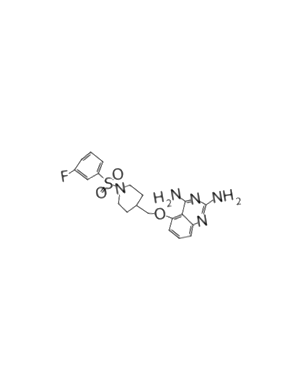 Nc1nc(N)c2c(OCC3CCN(S(=O)(=O)c4cccc(F)c4)CC3)cccc2n1